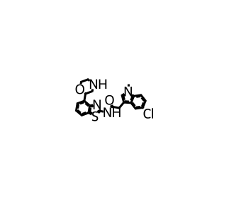 Cn1cc(CC(=O)Nc2nc3c(C4CNCCO4)cccc3s2)c2cc(Cl)ccc21